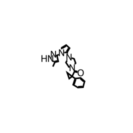 Cc1cc(-n2cccc2N2CCN(C(=O)C3(c4ccccc4)CC3)CC2)n[nH]1